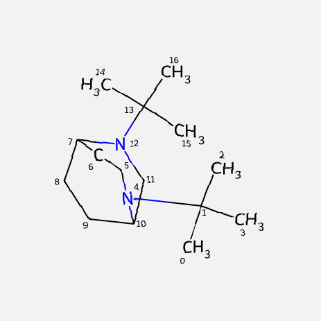 CC(C)(C)N1CCC2CCC1CN2C(C)(C)C